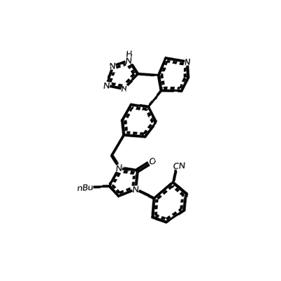 CCCCc1cn(-c2ccccc2C#N)c(=O)n1Cc1ccc(-c2ccncc2-c2nnn[nH]2)cc1